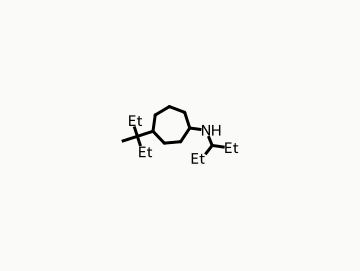 CCC(CC)NC1CCCC(C(C)(CC)CC)CC1